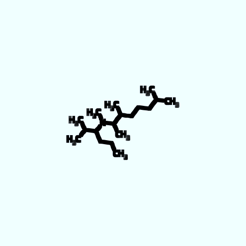 CCCC(C(C)C)N(C)C(C)C(C)CCCC(C)C